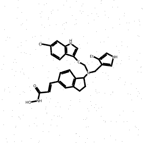 CCc1c[nH]cc1CN(CCc1c[nH]c2cc(Cl)ccc12)C1CCc2cc(C=CC(=O)NO)ccc21